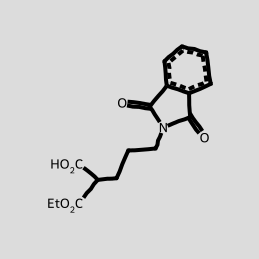 CCOC(=O)C(CCCN1C(=O)c2ccccc2C1=O)C(=O)O